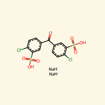 O=C(c1ccc(Cl)c(S(=O)(=O)O)c1)c1ccc(Cl)c(S(=O)(=O)O)c1.[NaH].[NaH]